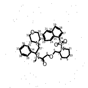 CN(C(=O)COCC1CCCCN1S(=O)(=O)c1cccc2ccccc12)C(CN1CCOCC1)c1ccccc1